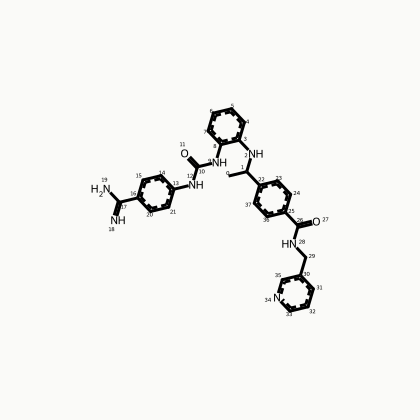 CC(Nc1ccccc1NC(=O)Nc1ccc(C(=N)N)cc1)c1ccc(C(=O)NCc2cccnc2)cc1